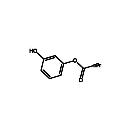 [CH2]CCC(=O)Oc1cccc(O)c1